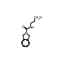 O=C(O)CCNC(=O)N1Cc2ccccc2C1